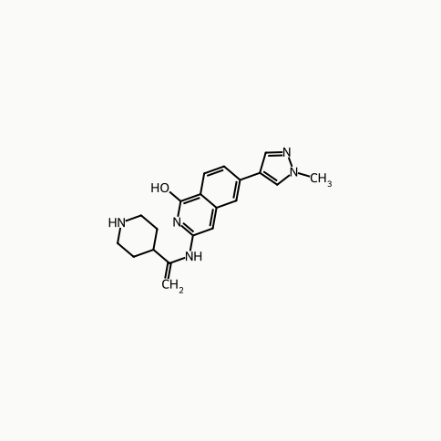 C=C(Nc1cc2cc(-c3cnn(C)c3)ccc2c(O)n1)C1CCNCC1